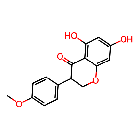 COc1ccc(C2COc3cc(O)cc(O)c3C2=O)cc1